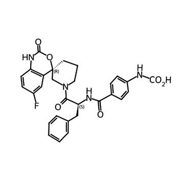 O=C(O)Nc1ccc(C(=O)N[C@@H](Cc2ccccc2)C(=O)N2CCC[C@@]3(C2)OC(=O)Nc2ccc(F)cc23)cc1